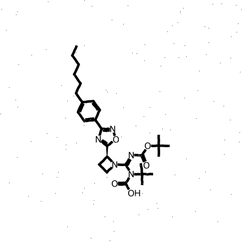 CCCCCCc1ccc(-c2noc([C@@H]3CCN3C(=NC(=O)OC(C)(C)C)N(C(=O)O)C(C)(C)C)n2)cc1